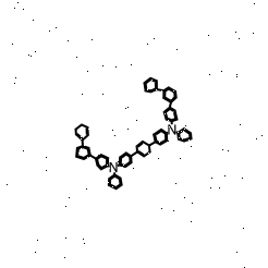 C1=CC(c2cccc(-c3ccc(N(c4ccccc4)c4ccc(C5=CCC(c6ccc(N(c7ccccc7)c7ccc(-c8cccc(-c9ccccc9)c8)cc7)cc6)C=C5)cc4)cc3)c2)=CCC1